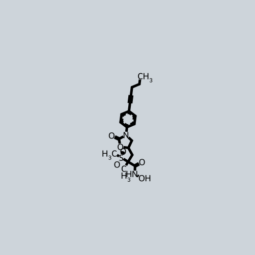 CCCC#Cc1ccc(N2CC(CC(C)(C(=O)NO)S(C)(=O)=O)OC2=O)cc1